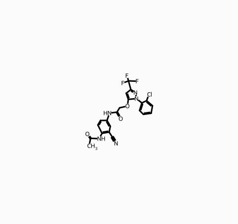 CC(=O)Nc1ccc(NC(=O)COc2cc(C(F)(F)F)nn2-c2ccccc2Cl)cc1C#N